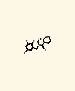 CCN(Cc1cc(F)cc(F)c1F)C(=O)C1CCCCC1